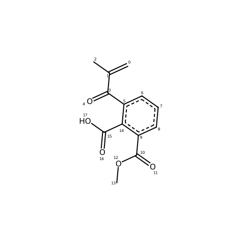 C=C(C)C(=O)c1cccc(C(=O)OC)c1C(=O)O